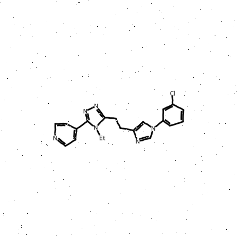 CCn1c(CCc2cn(-c3cccc(Cl)c3)cn2)nnc1-c1ccncc1